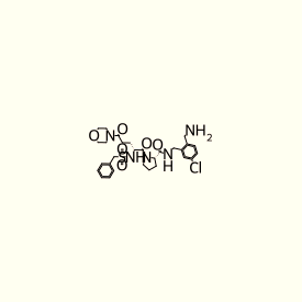 NCc1ccc(Cl)cc1CNC(=O)[C@@H]1CCCN1C(=O)[C@@H](CCC(=O)N1CCOCC1)NS(=O)(=O)Cc1ccccc1